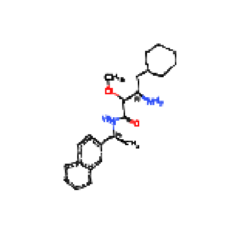 COC(C(=O)N[C@@H](C)c1ccc2ccccc2c1)[C@H](N)CC1CCCCC1